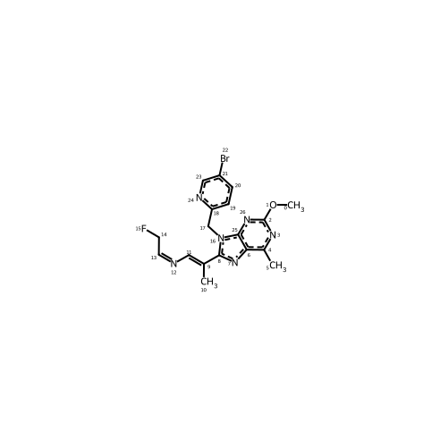 COc1nc(C)c2nc(/C(C)=C/N=C\CF)n(Cc3ccc(Br)cn3)c2n1